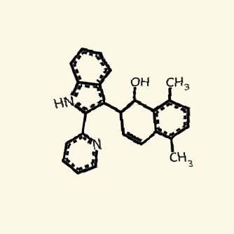 Cc1ccc(C)c2c1C=CC(c1c(-c3ccccn3)[nH]c3ccccc13)C2O